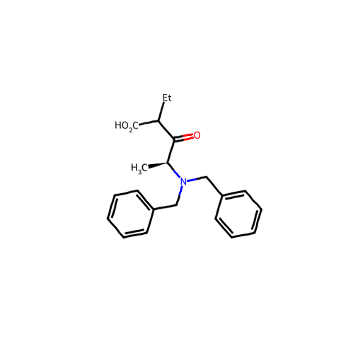 CCC(C(=O)O)C(=O)[C@H](C)N(Cc1ccccc1)Cc1ccccc1